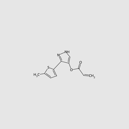 C=CC(=O)Oc1c[nH]nc1-c1ccc(C)s1